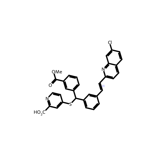 COC(=O)c1cccc(C(Sc2ccnc(C(=O)O)c2)c2cccc(/C=C/c3ccc4ccc(Cl)cc4n3)c2)c1